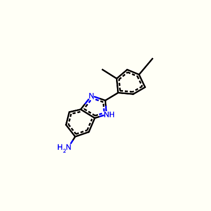 Cc1ccc(-c2nc3ccc(N)cc3[nH]2)c(C)c1